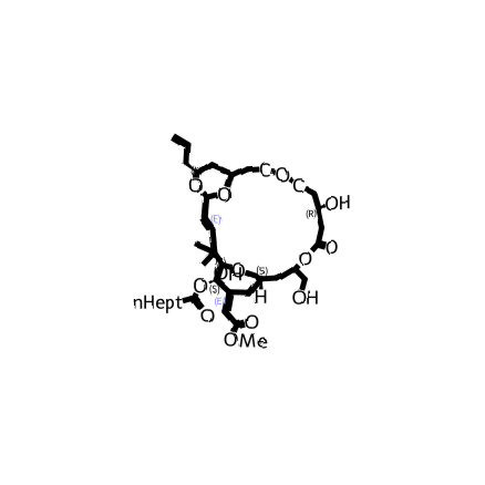 C=CC[C@H]1CC2CCOCC[C@@H](O)CC(=O)OC(CO)C[C@@H]3C/C(=C\C(=O)OC)[C@H](OC(=O)CCCCCCC)[C@@](O)(O3)C(C)(C)/C=C/C(O2)O1